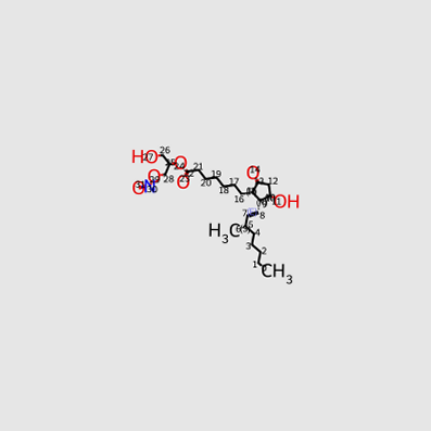 CCCCC[C@H](C)/C=C/[C@H]1[C@H](O)CC(=O)[C@@H]1CCCCCCC(=O)OC(CO)CON=O